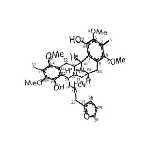 COc1c(C)c(OC)c2c(c1O)[C@H]1[C@@H]3Cc4c(OC)c(C)c(OC)c(O)c4[C@H](CNCc4ccco4)N3[C@@H](C#N)[C@@H](C2)N1C